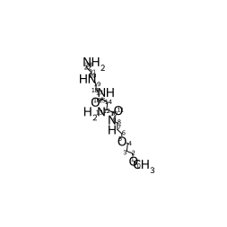 COCCCOCCCNC(=O)C(N)CC(=O)NCCNCCN